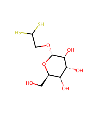 OC[C@H]1O[C@H](OCC(S)S)[C@H](O)[C@H](O)[C@@H]1O